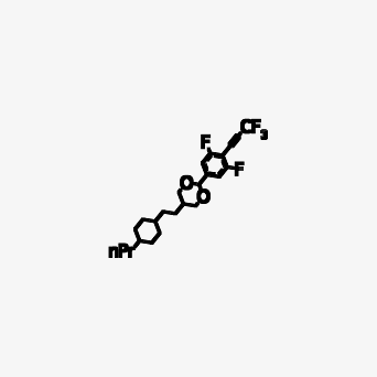 CCCC1CCC(CCC2COC(c3cc(F)c(C#CC(F)(F)F)c(F)c3)OC2)CC1